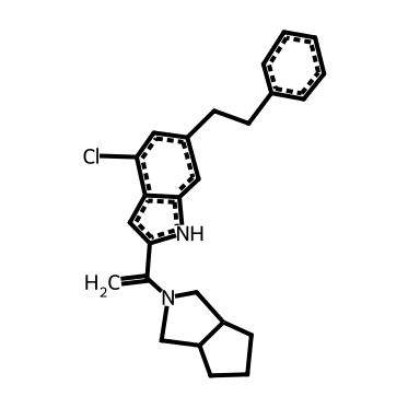 C=C(c1cc2c(Cl)cc(CCc3ccccc3)cc2[nH]1)N1CC2CCCC2C1